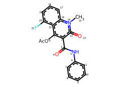 CC(=O)Oc1c(C(=O)Nc2ccccc2)c(=O)n(C)c2cccc(F)c12